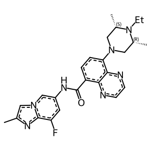 CCN1[C@H](C)CN(c2ccc(C(=O)Nc3cc(F)c4nc(C)cn4c3)c3nccnc23)C[C@@H]1C